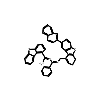 N/C(=N\C(=N/CC1=CCCc2oc3ccc(-c4ccc5ccccc5c4)cc3c21)c1ccccc1)c1cccc2sc3ccccc3c12